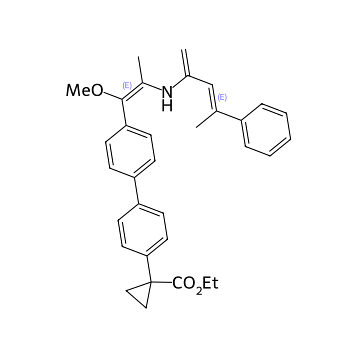 C=C(/C=C(\C)c1ccccc1)N/C(C)=C(/OC)c1ccc(-c2ccc(C3(C(=O)OCC)CC3)cc2)cc1